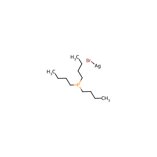 CCCCP(CCCC)CCCC.[Br][Ag]